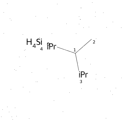 CC(C)C(C)C(C)C.[SiH4]